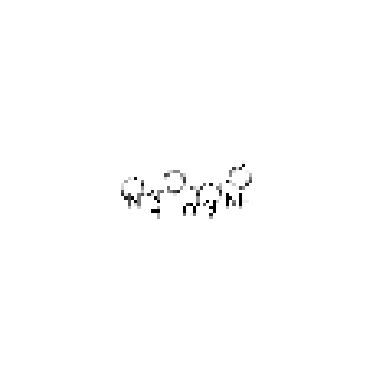 Cc1ccc2[nH]c3c(cc(-c4cccc(Nc5ccccn5)c4)c(=O)n3C)c2c1